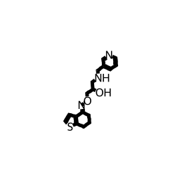 OC(CNCc1cccnc1)CO/N=C1\CCCc2sccc21